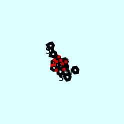 c1ccc(N(Cc2ccc3sc4ccccc4c3c2)c2cccc3c2C2(c4ccccc4-c4ccccc42)c2ccc4sc5cccc(N(c6ccccc6)c6ccc7ccccc7c6)c5c4c2O3)cc1